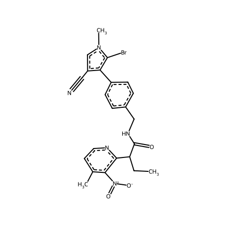 CCC(C(=O)NCc1ccc(-c2c(C#N)cn(C)c2Br)cc1)c1nccc(C)c1[N+](=O)[O-]